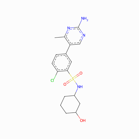 Cc1nc(N)ncc1-c1ccc(Cl)c(S(=O)(=O)NC2CCCC(O)C2)c1